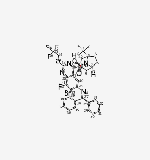 CC(C)(C)[C@]12CC[C@@H](CN(c3nc(OCC(F)(F)F)nc4c(F)c(Br)c(N=C(c5ccccc5)c5ccccc5)cc34)C1)N2C(=O)O